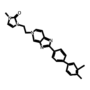 Cc1ccc(-c2ccc(-c3nc4ccn(CCn5ccn(C)c5=O)cc-4n3)cc2)cc1C